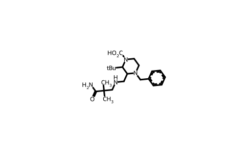 CC(C)(CNCC1C(C(C)(C)C)N(C(=O)O)CCN1Cc1ccccc1)C(N)=O